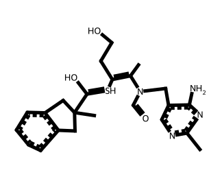 C/C(=C(CCO)/[SH]=C(\O)C1(C)Cc2ccccc2C1)N(C=O)Cc1cnc(C)nc1N